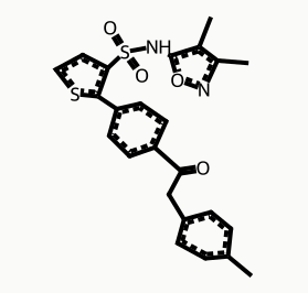 Cc1ccc(CC(=O)c2ccc(-c3sccc3S(=O)(=O)Nc3onc(C)c3C)cc2)cc1